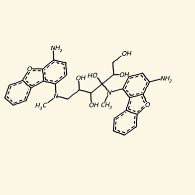 CN(CC(O)C(O)C(O)(C(O)CO)N(C)c1ccc(N)c2oc3ccccc3c12)c1ccc(N)c2oc3ccccc3c12